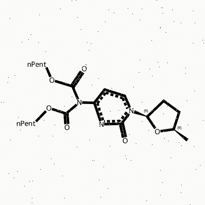 CCCCCOC(=O)N(C(=O)OCCCCC)c1ccn([C@H]2CC[C@@H](C)O2)c(=O)n1